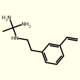 C=Cc1cccc(CCNC(C)(N)N)c1